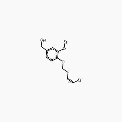 CC/C=C\CCOc1ccc(CO)cc1OCC